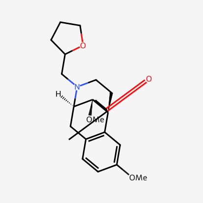 COc1ccc2c(c1)[C@]13CCN(CC4CCCO4)[C@H](C2)[C@]1(OC)CCC(=O)C3